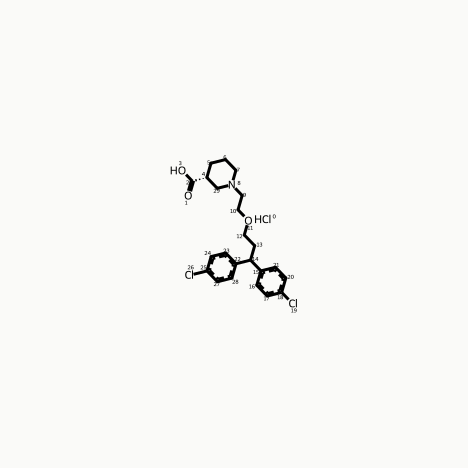 Cl.O=C(O)[C@@H]1CCCN(CCOCCC(c2ccc(Cl)cc2)c2ccc(Cl)cc2)C1